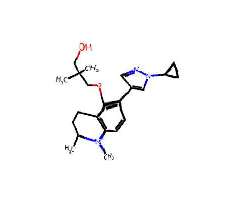 CC1CCc2c(ccc(-c3cnn(C4CC4)c3)c2OCC(C)(C)CO)N1C